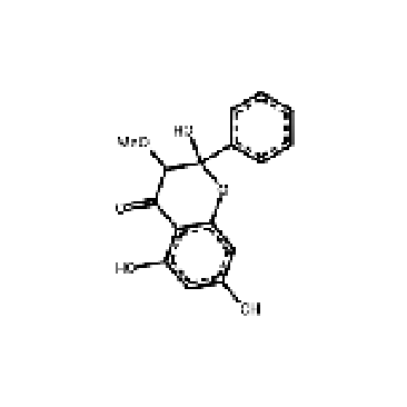 COC1C(=O)c2c(O)cc(O)cc2OC1(O)c1ccccc1